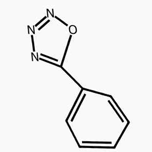 c1ccc(-c2nnno2)cc1